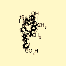 Cc1ncsc1-c1ccc([C@H](C)NC(=O)[C@@H]2C[C@@H](O)CN2C(=O)[C@@H](NC(=O)CN2CCN(C3CC4(C3)CN(c3ccc(C(=O)O)cn3)C4)CC2)C(C)(C)C)cc1